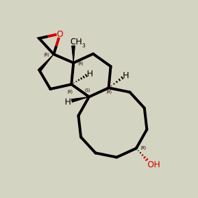 C[C@@]12CC[C@H]3CCC[C@H](O)CCCC[C@@H]3[C@H]1CC[C@]21CO1